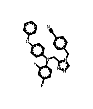 N#Cc1ccc(Cn2cnnc2CN(c2ccc(Oc3ccccc3)cc2)c2ccc(F)cc2F)cc1